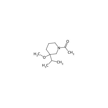 COC1(C(C)C)CCCN(C(C)=O)C1